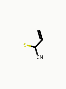 C=CC([S])C#N